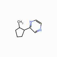 C[C]1CCCC1c1cnccn1